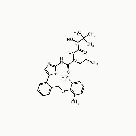 CCC[C@H](NC(=O)[C@@H](O)C(C)(C)C)C(=O)Nc1ncc(-c2ccccc2COc2c(C)cccc2C)s1